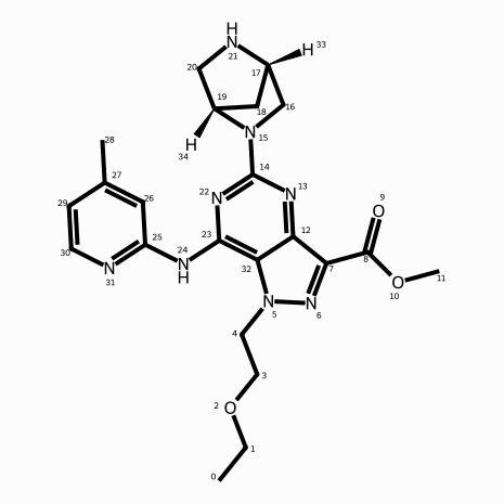 CCOCCn1nc(C(=O)OC)c2nc(N3C[C@@H]4C[C@H]3CN4)nc(Nc3cc(C)ccn3)c21